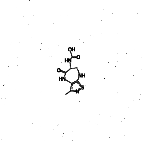 Cc1nsc2c1NC(=O)C(NC(=O)O)CN2